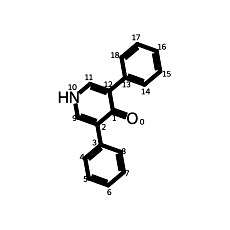 O=c1c(-c2ccccc2)c[nH]cc1-c1ccccc1